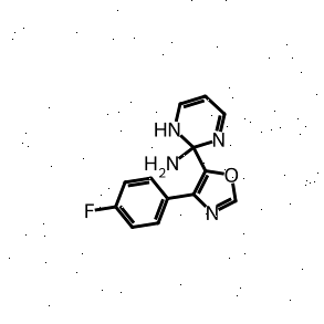 NC1(c2ocnc2-c2ccc(F)cc2)N=CC=CN1